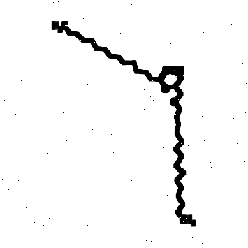 CCCCCCCCCCCCCCCOCC(CO)OC(=O)CCCCCCCCCCCCCC